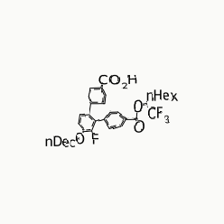 CCCCCCCCCCOc1ccc(-c2ccc(C(=O)O)cc2)c(-c2ccc(C(=O)OC(CCCCCC)C(F)(F)F)cc2)c1F